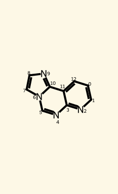 c1cnc2ncn3ccnc3c2c1